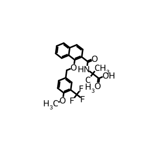 COc1ccc(COc2c(C(=O)NC(C)(C)C(=O)O)ccc3ccccc23)cc1C(F)(F)F